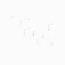 CC(=O)OC(C#N)=C(C)c1ccc(CC(C)C)cc1